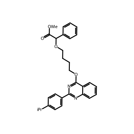 COC(=O)C(OCCCCOc1nc(-c2ccc(C(C)C)cc2)nc2ccccc12)c1ccccc1